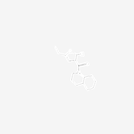 CCC1=CC(C(=O)N2CCCC3CCCCC32)C(Cl)S1